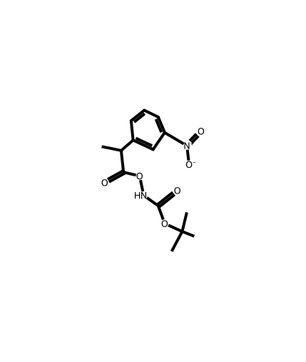 CC(C(=O)ONC(=O)OC(C)(C)C)c1cccc([N+](=O)[O-])c1